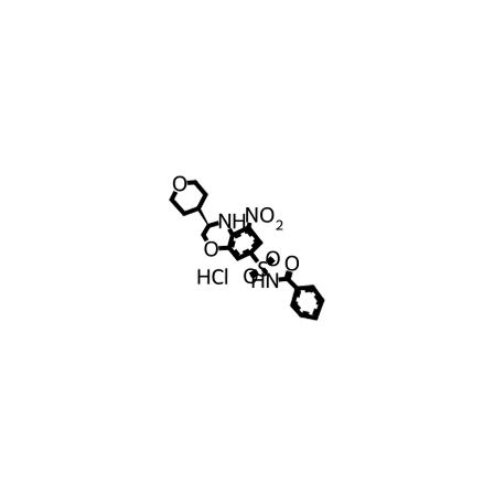 Cl.O=C(NS(=O)(=O)c1cc2c(c([N+](=O)[O-])c1)N[C@H](C1CCOCC1)CO2)c1ccccc1